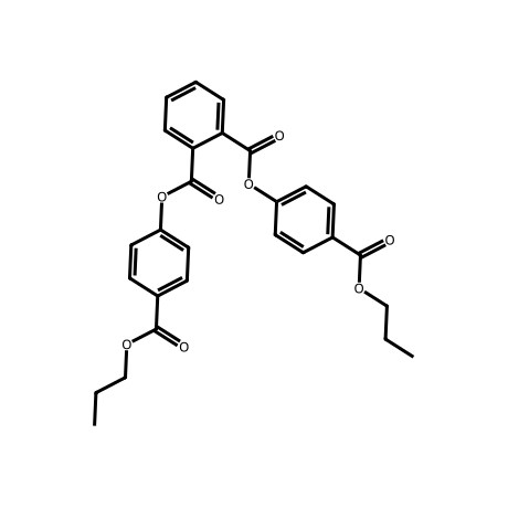 CCCOC(=O)c1ccc(OC(=O)c2ccccc2C(=O)Oc2ccc(C(=O)OCCC)cc2)cc1